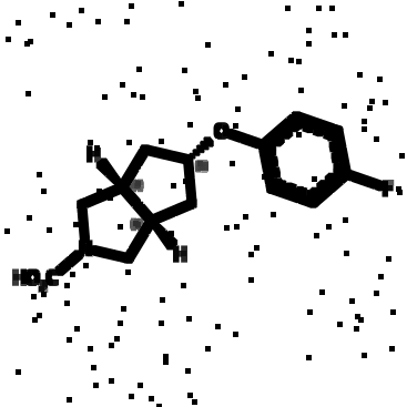 O=C(O)N1C[C@H]2C[C@@H](Oc3ccc(F)cc3)C[C@H]2C1